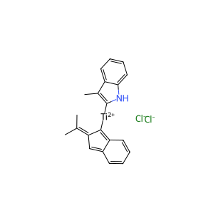 CC(C)=C1C=c2ccccc2=[C]1[Ti+2][c]1[nH]c2ccccc2c1C.[Cl-].[Cl-]